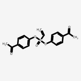 C=CP(=O)(Oc1ccc(C(C)=O)cc1)Oc1ccc(C(C)=O)cc1